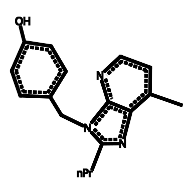 CCCc1nc2c(C)ccnc2n1Cc1ccc(O)cc1